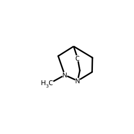 CN1CC2CCN1CC2